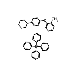 Cc1ccccc1[I+]c1ccc(C2CCCCC2)cc1.c1ccc([B-](c2ccccc2)(c2ccccc2)c2ccccc2)cc1